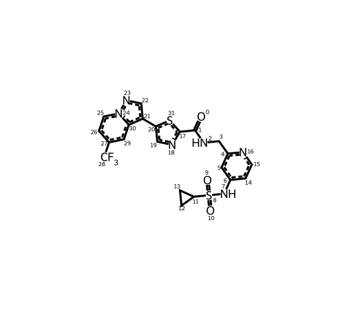 O=C(NCc1cc(NS(=O)(=O)C2CC2)ccn1)c1ncc(-c2cnn3ccc(C(F)(F)F)cc23)s1